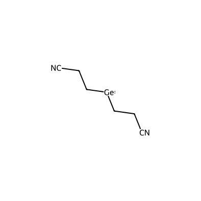 N#CC[CH2][Ge][CH2]CC#N